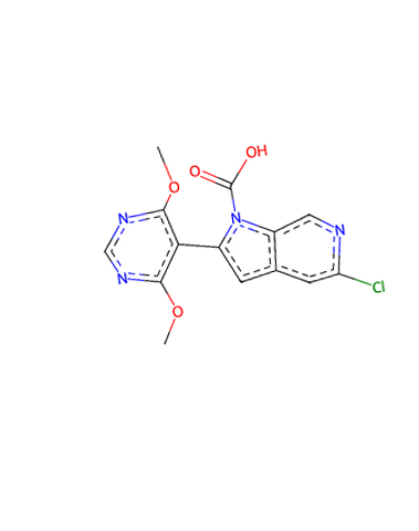 COc1ncnc(OC)c1-c1cc2cc(Cl)ncc2n1C(=O)O